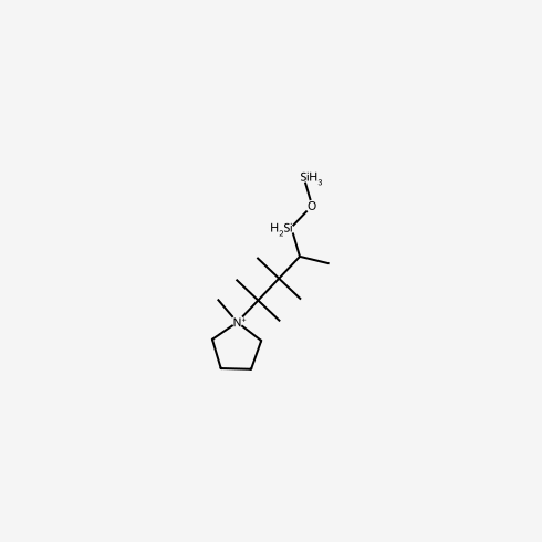 CC([SiH2]O[SiH3])C(C)(C)C(C)(C)[N+]1(C)CCCC1